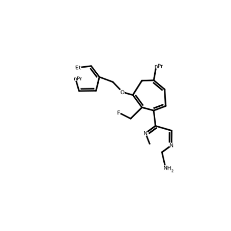 CC/C=C(\C=C/CCC)COC1=C(CF)C(C(/C=N\CN)=N/C)=CC=C(CCC)C1